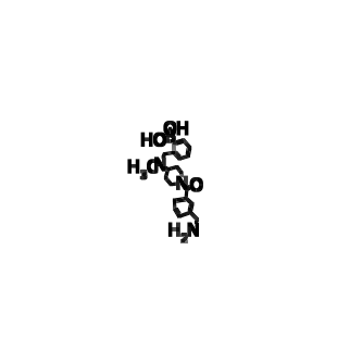 CN(Cc1ccccc1B(O)O)C1CCN(C(=O)c2cccc(CN)c2)CC1